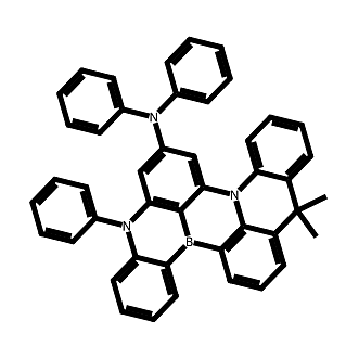 CC1(C)c2ccccc2N2c3cc(N(c4ccccc4)c4ccccc4)cc4c3B(c3ccccc3N4c3ccccc3)c3cccc1c32